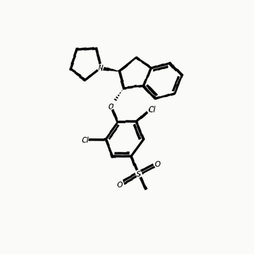 CS(=O)(=O)c1cc(Cl)c(O[C@H]2c3ccccc3C[C@@H]2N2CCCC2)c(Cl)c1